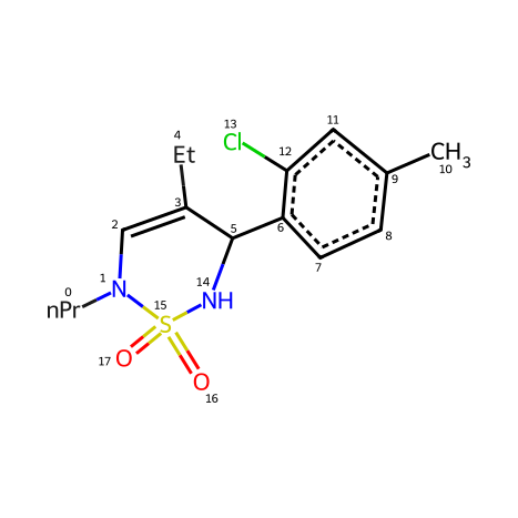 CCCN1C=C(CC)C(c2ccc(C)cc2Cl)NS1(=O)=O